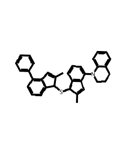 CC1=Cc2c(-c3ccccc3)cccc2C1SC1C(C)=Cc2c1cccc2N1CCCc2ccccc21